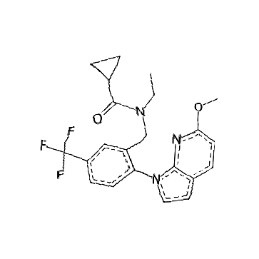 CCN(Cc1cc(C(F)(F)F)ccc1-n1ccc2ccc(OC)nc21)C(=O)C1CC1